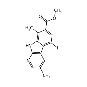 COC(=O)c1cc(I)c2c([nH]c3ncc(C)cc32)c1C